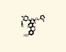 CN1CCC[C@H]1COc1nc(N2CCN(C)[C@@H](CC#N)C2)c2cnc(-c3cc(O)ccc3F)c(F)c2n1